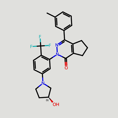 Cc1cccc(-c2nn(-c3cc(N4CC[C@H](O)C4)ccc3C(F)(F)F)c(=O)c3c2CCC3)c1